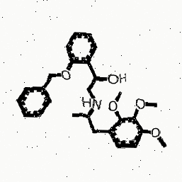 COc1ccc(CC(C)NCC(O)c2ccccc2OCc2ccccc2)c(OC)c1OC